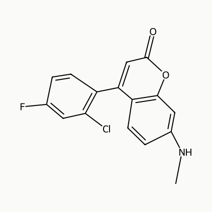 CNc1ccc2c(-c3ccc(F)cc3Cl)cc(=O)oc2c1